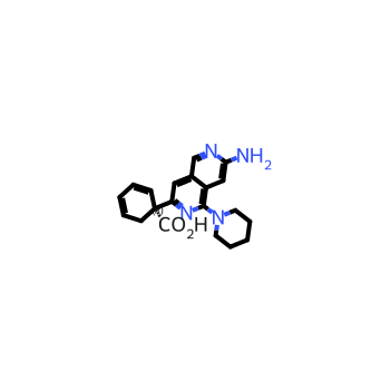 Nc1cc2c(N3CCCCC3)nc([C@]3(C(=O)O)C=CC=CC3)cc2cn1